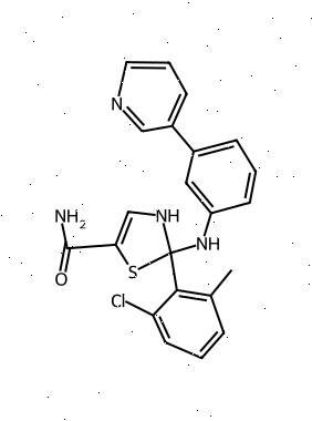 Cc1cccc(Cl)c1C1(Nc2cccc(-c3cccnc3)c2)NC=C(C(N)=O)S1